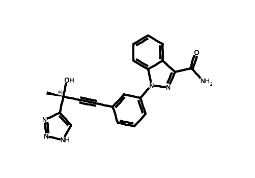 C[C@@](O)(C#Cc1cccc(-n2nc(C(N)=O)c3ccccc32)c1)c1c[nH]nn1